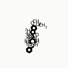 [2H]C1(CC2([2H])C([2H])([2H])C([2H])([2H])N(Cc3ccccc3)C([2H])([2H])C2([2H])[2H])C(=O)c2cc(OC)c(OC)cc2C1([2H])[2H]